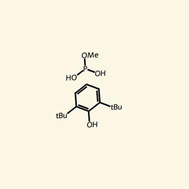 CC(C)(C)c1cccc(C(C)(C)C)c1O.COP(O)O